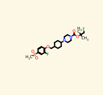 CC(C)(CF)OC(=O)N1CCN(C2CCC(COc3ccc(S(C)(=O)=O)cc3F)CC2)CC1